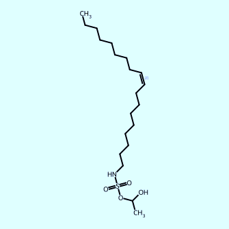 CCCCCCCC/C=C\CCCCCCCCNS(=O)(=O)OC(C)O